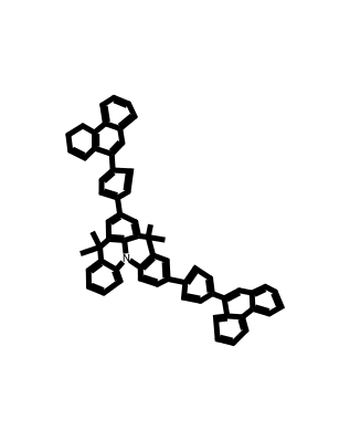 CC1(C)c2ccccc2N2c3ccc(-c4ccc(-c5cc6ccccc6c6ccccc56)cc4)cc3C(C)(C)c3cc(-c4ccc(-c5cc6ccccc6c6c5C=CCC6)cc4)cc1c32